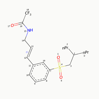 CCCC(CCC)CS(=O)(=O)c1cccc(/C=C/CNC(=O)C(F)(F)F)c1